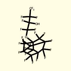 OC(F)(C(F)(F)OC12C(F)(F)C3(F)C(F)(F)C(F)(C(F)(F)C(F)(C3(F)F)C1(F)F)C2(F)F)C(F)(F)C(F)(F)F